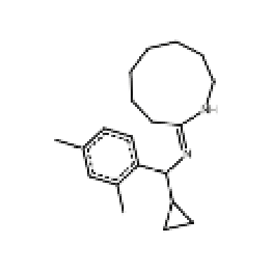 Cc1ccc(C(N=C2CCCCCCCN2)C2CC2)c(C)c1